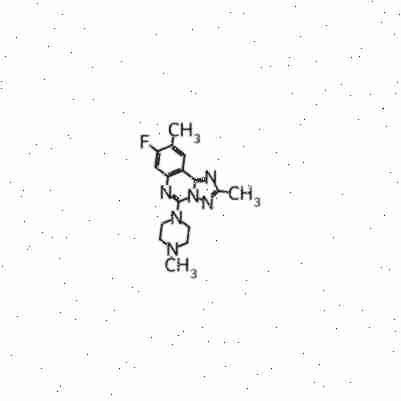 Cc1nc2c3cc(C)c(F)cc3nc(N3CCN(C)CC3)n2n1